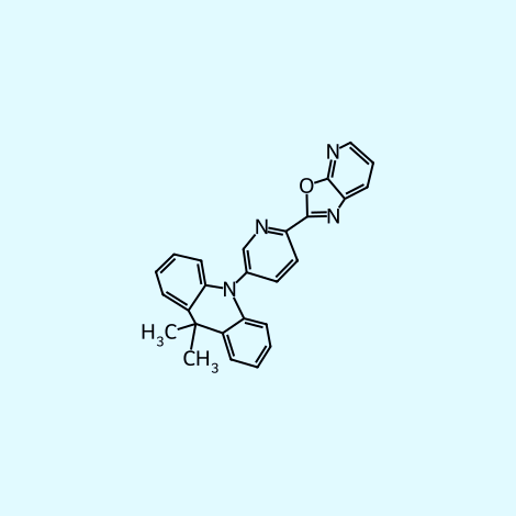 CC1(C)c2ccccc2N(c2ccc(-c3nc4cccnc4o3)nc2)c2ccccc21